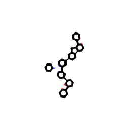 CC1(C)c2cc(-c3ccc4c(c3)c3cc(-c5cccc6c5oc5ccccc56)ccc3n4-c3ccccc3)ccc2-c2ccc3oc4ccccc4c3c21